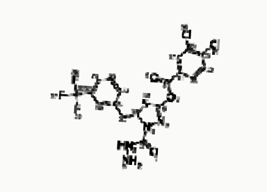 NNC(=O)N1N=C(OC(=O)c2ccc(Cl)c(Cl)c2)SC1Cc1cccc(C(F)(F)F)c1